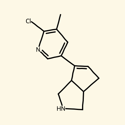 Cc1cc(C2=CCC3CNCC23)cnc1Cl